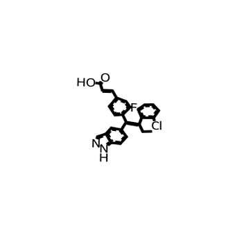 CC/C(=C(/c1ccc(/C=C/C(=O)O)cc1)c1ccc2[nH]ncc2c1)c1c(F)cccc1Cl